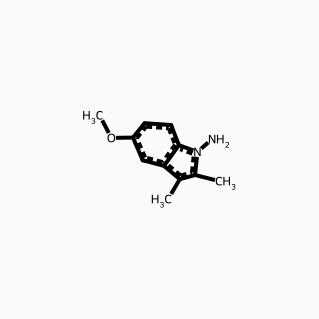 COc1ccc2c(c1)c(C)c(C)n2N